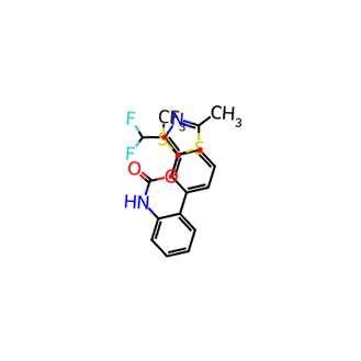 Cc1nc(C(F)F)c(OC(=O)Nc2ccccc2-c2cccc(SC(F)(F)F)c2)s1